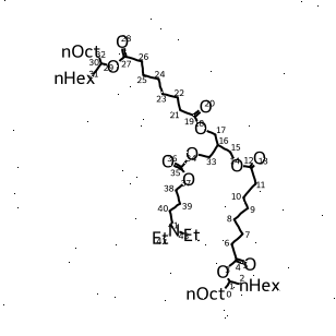 CCCCCCCCC(CCCCCC)OC(=O)CCCCCCC(=O)OCC(COC(=O)CCCCCCC(=O)OC(CCCCCC)CCCCCCCC)COC(=O)OCCCN(CC)CC